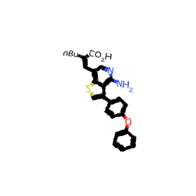 CCCCC(=Cc1cnc(N)c2c(-c3ccc(Oc4ccccc4)cc3)csc12)C(=O)O